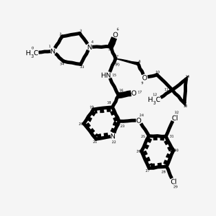 CN1CCN(C(=O)[C@@H](COCC2(C)CC2)NC(=O)c2cccnc2Oc2ccc(Cl)cc2Cl)CC1